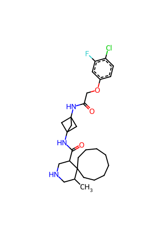 CC1CNCC(C(=O)NC23CC(NC(=O)COc4ccc(Cl)c(F)c4)(C2)C3)C12CCCCCCCC2